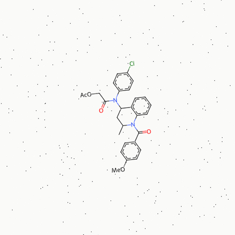 COc1ccc(C(=O)N2c3ccccc3C(N(C(=O)COC(C)=O)c3ccc(Cl)cc3)CC2C)cc1